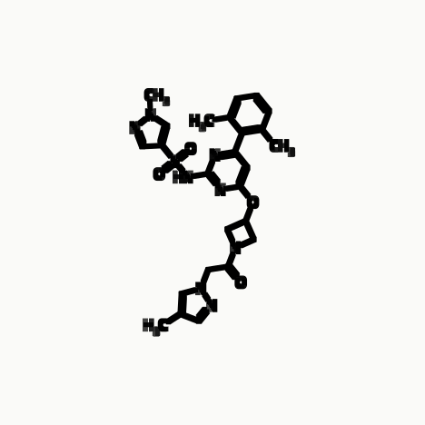 Cc1cnn(CC(=O)N2CC(Oc3cc(-c4c(C)cccc4C)nc(NS(=O)(=O)c4cnn(C)c4)n3)C2)c1